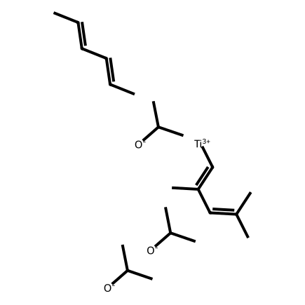 CC(C)=CC(C)=[CH][Ti+3].CC(C)[O-].CC(C)[O-].CC(C)[O-].CC=CC=CC